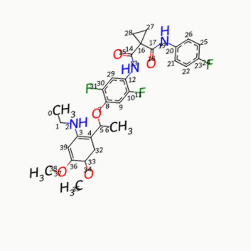 CCNC1=C(C(C)Oc2cc(F)c(NC(=O)C3(C(=O)Nc4ccc(F)cc4)CC3)cc2F)CC(OC)C(OC)=C1